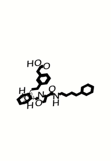 O=C(O)Cc1cccc(CC[C@@H]2[C@H](C3=NC(C(=O)NCCCCC4CCCCC4)CO3)[C@H]3CC[C@@H]2O3)c1